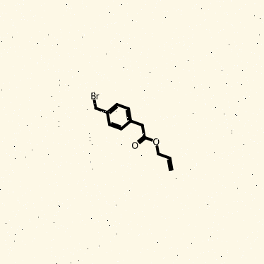 C=CCOC(=O)Cc1ccc(CBr)cc1